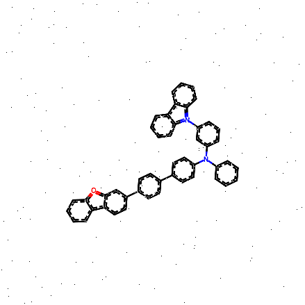 c1ccc(N(c2ccc(-c3ccc(-c4ccc5c(c4)oc4ccccc45)cc3)cc2)c2cccc(-n3c4ccccc4c4ccccc43)c2)cc1